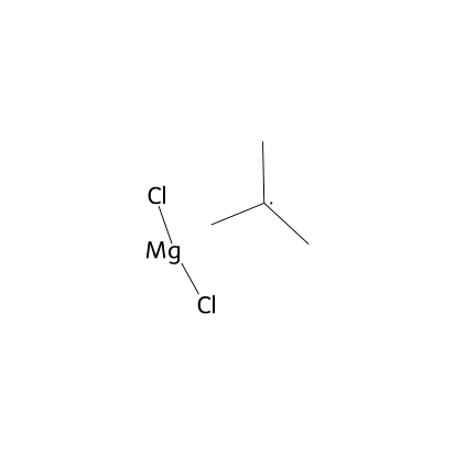 C[C](C)C.[Cl][Mg][Cl]